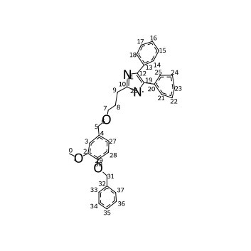 COc1cc(COCCCC2=NC(c3ccccc3)=C(c3ccccc3)[N]2)ccc1OCc1ccccc1